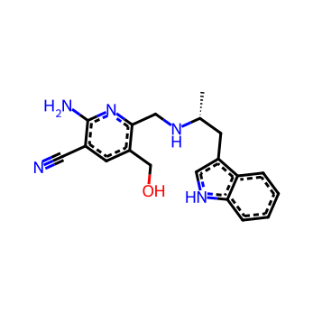 C[C@H](Cc1c[nH]c2ccccc12)NCc1nc(N)c(C#N)cc1CO